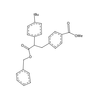 COC(=O)c1ccc(CC(C(=O)OCc2ccccc2)c2ccc(C(C)(C)C)cc2)cc1